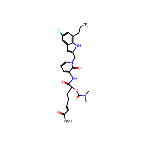 CNC(=O)C=CCCC(OC(=O)N(C)C)C(=O)Nc1cccn(Cc2cc3cc(F)cc(CCC(F)(F)F)c3[nH]2)c1=O